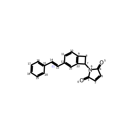 O=C1C=CC(=O)N1C1Cc2ccc(/C=C/c3ccccc3)cc21